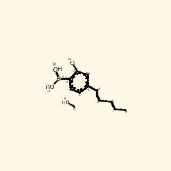 CCCCCc1ccc(B(O)O)c(Cl)c1.CO